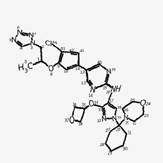 CC(Cn1cnnn1)Oc1cc(-c2cnc(Nc3cn(C4(N5CCOCC5)CCCCC4)nc3OC3COC3)nc2)ccc1Cl